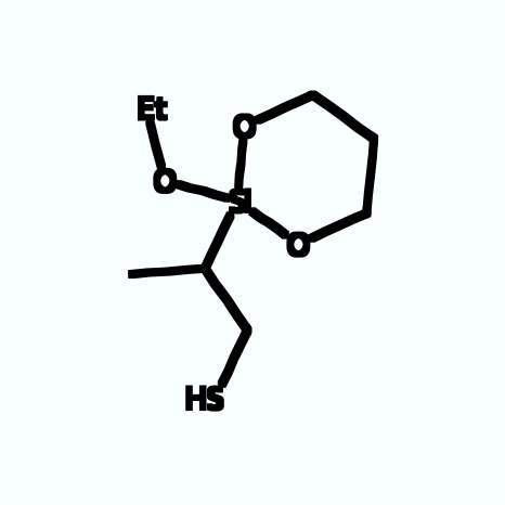 CCO[Si]1(C(C)CS)OCCCO1